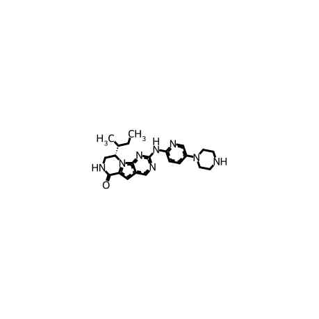 CCC(C)[C@H]1CNC(=O)c2cc3cnc(Nc4ccc(N5CCNCC5)cn4)nc3n21